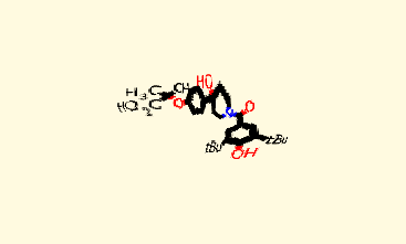 CC(C)(Oc1ccc(C2(O)CCN(C(=O)c3cc(C(C)(C)C)c(O)c(C(C)(C)C)c3)CC2)cc1)C(=O)O